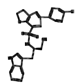 O=S(=O)(N[C@@H](CO)Cc1c[nH]c2ccccc12)c1cc(-c2ccc(Cl)cc2)cc2c1OCC2